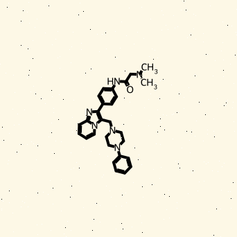 CN(C)CC(=O)Nc1ccc(-c2nc3ccccn3c2CN2CCN(c3ccccc3)CC2)cc1